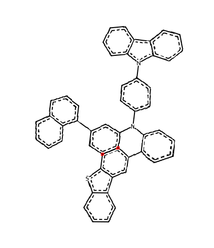 c1cc(-c2cccc3ccccc23)cc(N(c2ccc(-n3c4ccccc4c4ccccc43)cc2)c2ccccc2-c2ccc3sc4ccccc4c3c2)c1